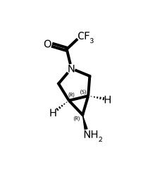 N[C@H]1[C@H]2CN(C(=O)C(F)(F)F)C[C@@H]12